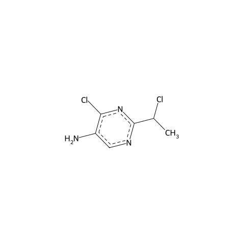 CC(Cl)c1ncc(N)c(Cl)n1